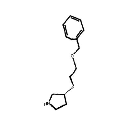 c1ccc(COCCC[C@@H]2CCNC2)cc1